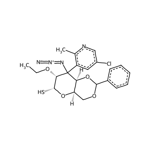 CCO[C@H]1[C@@H](S)O[C@@H]2COC(c3ccccc3)O[C@@H]2C1(N=[N+]=[N-])c1cc(Cl)cnc1C